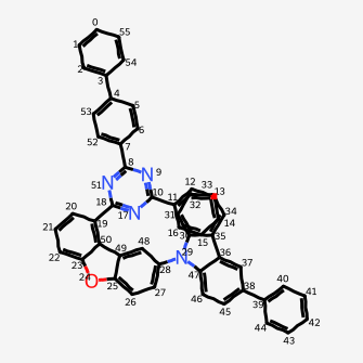 c1ccc(-c2ccc(-c3nc(-c4ccccc4)nc(-c4cccc5oc6ccc(-n7c8ccccc8c8cc(-c9ccccc9)ccc87)cc6c45)n3)cc2)cc1